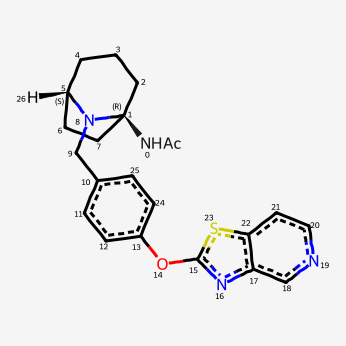 CC(=O)N[C@@]12CCC[C@@H](CC1)N2Cc1ccc(Oc2nc3cnccc3s2)cc1